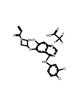 C=CC(=O)N1CC(Oc2cc3c(Nc4ccc(Cl)c(Cl)c4)ncnc3cc2OC)C1.O=C(O)C(F)(F)F